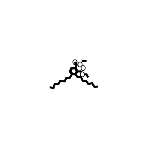 CCCCCCCCc1ccc(C(=O)OCC)c(C(=O)OCC)c1CCCCCCCC